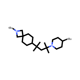 CC(C)(C)C1CCN(C(C)(C)CC(C)(C)C2CCC3(CC2)CN(C(C)(C)C)C3)CC1